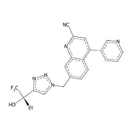 CC[C@](O)(c1cn(Cc2ccc3c(-c4cccnc4)cc(C#N)nc3c2)nn1)C(F)(F)F